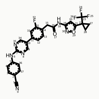 N#Cc1ccc(Nc2ncc(-c3ccc(CC(=O)Nc4cc(C5(C(F)(F)F)CC5)on4)c(F)c3)cn2)cc1